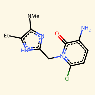 CCc1[nH]c(Cn2c(Cl)ccc(N)c2=O)nc1NC